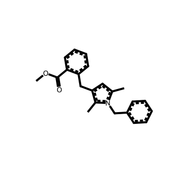 COC(=O)c1ccccc1Cc1cc(C)n(Cc2ccccc2)c1C